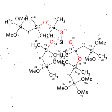 CO[Si](C)(C[Si](C)(C)O[Si](C)(C)O[Si](C)(O[Si](C)(C)C[Si](C)(OC)OC)O[Si](C)(C[Si](C)(OC)OC)O[Si](C)(C)C[Si](OC)(OC)OC)OC